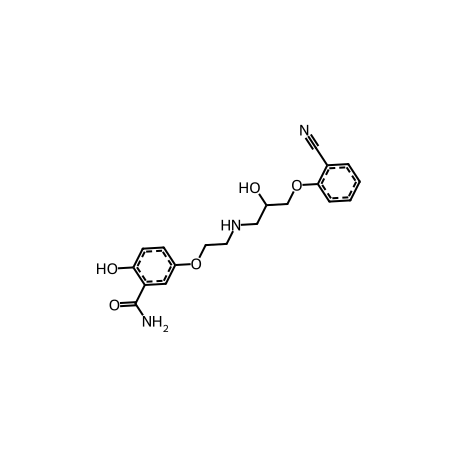 N#Cc1ccccc1OCC(O)CNCCOc1ccc(O)c(C(N)=O)c1